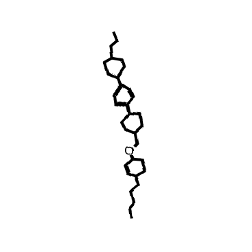 CCCCCC1C=CC(OCC2CCC(c3ccc(C4CCC(CCC)CC4)cc3)CC2)CC1